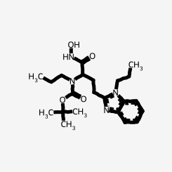 CCCN(C(=O)OC(C)(C)C)C(CCc1nc2ccccc2n1CCC)C(=O)NO